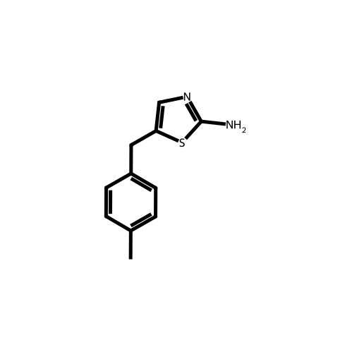 Cc1ccc(Cc2cnc(N)s2)cc1